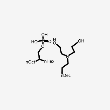 CCCCCCCCC(CCCCCC)COP(=O)(O)O.CCCCCCCCCCCCN(CCO)CCO